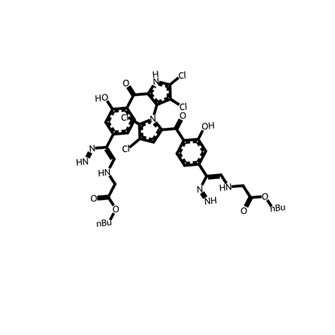 CCCCOC(=O)CN/C=C(\N=N)c1ccc(C(=O)c2[nH]c(Cl)c(Cl)c2-n2c(C(=O)c3ccc(/C(=C/NCC(=O)OCCCC)N=N)cc3O)cc(Cl)c2Cl)c(O)c1